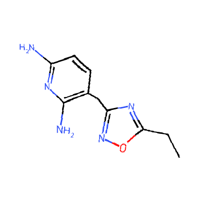 CCc1nc(-c2ccc(N)nc2N)no1